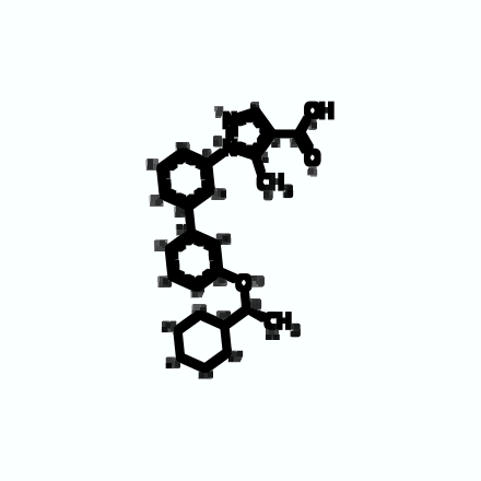 Cc1c(C(=O)O)cnn1-c1cccc(-c2cccc(O[C@@H](C)C3CCCCC3)c2)c1